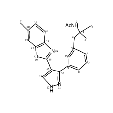 CC(=O)NC(C)(C)Cc1cccc(-c2n[nH]cc2-c2nc3ccc(C)cc3o2)c1